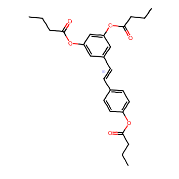 CCCC(=O)Oc1ccc(/C=C/c2cc(OC(=O)CCC)cc(OC(=O)CCC)c2)cc1